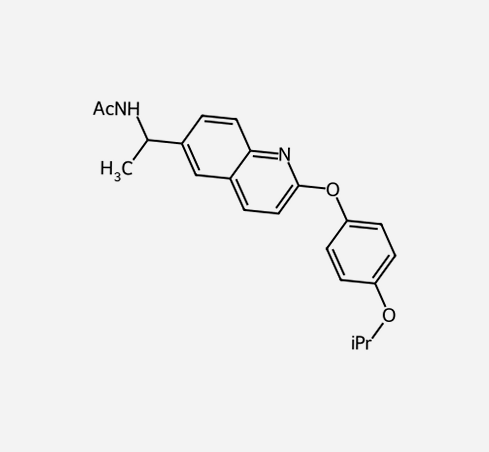 CC(=O)NC(C)c1ccc2nc(Oc3ccc(OC(C)C)cc3)ccc2c1